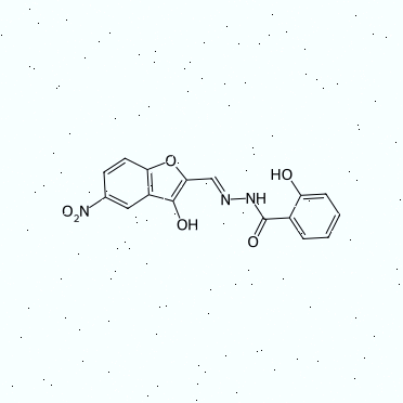 O=C(NN=Cc1oc2ccc([N+](=O)[O-])cc2c1O)c1ccccc1O